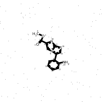 COC(=O)c1cn2c(-c3ccccc3N)csc2n1